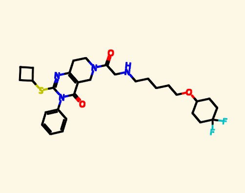 O=C(CNCCCCCOC1CCC(F)(F)CC1)N1CCc2nc(SC3CCC3)n(-c3ccccc3)c(=O)c2C1